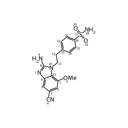 COc1cc(C#N)cc2nc(N)n(CCc3ccc(S(N)(=O)=O)cc3)c12